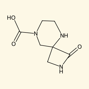 O=C(O)N1CCNC2(CNC2=O)C1